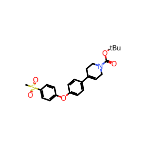 CC(C)(C)OC(=O)N1CC=C(c2ccc(Oc3ccc(S(C)(=O)=O)cc3)cc2)CC1